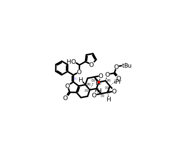 CC(C)[C@]12O[C@H]1[C@@H]1O[C@]13[C@]1(O[C@H]1C[C@H]1C4=C(CC[C@@]13C)C(=O)O/C4=C(/OC(O)c1ccco1)c1ccccc1)[C@@H]2OC(=O)OC(C)(C)C